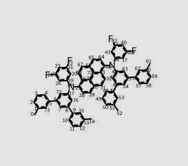 Cc1cccc(-c2cc(-c3cccc(C)c3)cc(N(c3cc(F)cc(F)c3)c3ccc4ccc5c(N(c6cc(F)cc(F)c6)c6cc(-c7cccc(C)c7)cc(-c7cccc(C)c7)c6)ccc6ccc3c4c65)c2)c1